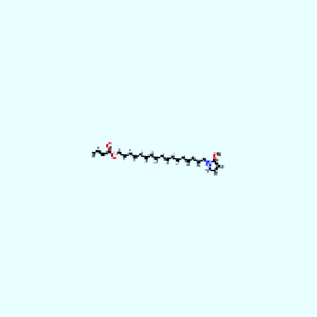 CC=CC(=O)OCCCCCCCCCCCCCCCCCN1CCCC1=O